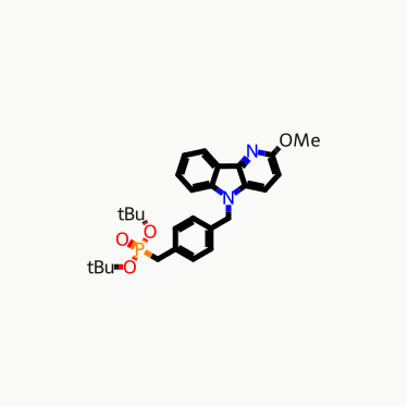 COc1ccc2c(n1)c1ccccc1n2Cc1ccc(CP(=O)(OC(C)(C)C)OC(C)(C)C)cc1